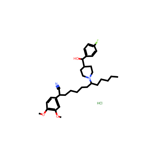 CCCCCC(CCCCCC(C#N)c1ccc(OC)c(OC)c1)N1CCC(C(O)c2ccc(F)cc2)CC1.Cl